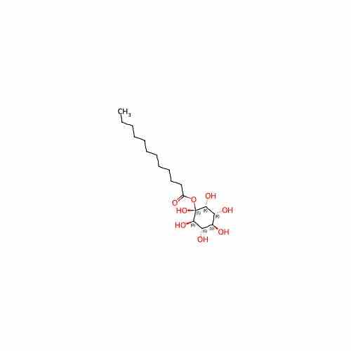 CCCCCCCCCCCC(=O)O[C@]1(O)[C@H](O)[C@H](O)[C@@H](O)[C@H](O)[C@H]1O